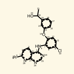 CC(C)c1ccc2c(Nc3cc(Cl)ccc3Oc3cccc(C(C)O)c3)ncnc2n1